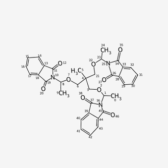 CC(OCC(C)(COC(C)N1C(=O)c2ccccc2C1=O)COC(C)N1C(=O)c2ccccc2C1=O)N1C(=O)c2ccccc2C1=O